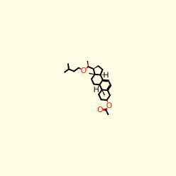 CC(=O)O[C@H]1CC[C@@]2(C)C(=CC=C3[C@@H]4CC[C@H]([C@H](C)OCCC(C)C)[C@@]4(C)CC[C@@H]32)C1